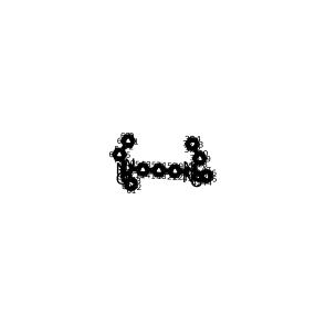 c1ccc(-c2cccc(-c3nc(-c4ccc(-c5ccc(-c6ccc(-c7nc(-c8cccc(-c9ccccc9)c8)c8c(n7)oc7ccccc78)cc6)cc5)cc4)c4c(n3)oc3ccccc34)c2)cc1